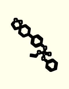 C=COP(=O)(Oc1ccccc1)Oc1ccc(C2CCC3(CCOO3)CC2)cc1